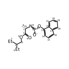 CCC(CC)COC(=O)[C@H](C)N=[P+]([O-])Oc1cccc2ccccc12